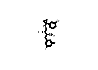 N[C@@H](Cc1cc(F)cc(F)c1)[C@H](O)CNC1(c2cccc(Br)c2)CC1